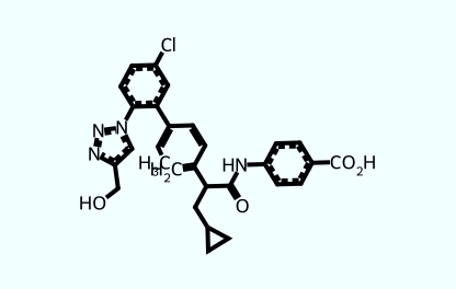 C=C(/C=C\C(=C/C)c1cc(Cl)ccc1-n1cc(CO)nn1)C(CC1CC1)C(=O)Nc1ccc(C(=O)O)cc1